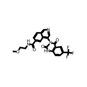 COCCNC(=O)c1ccc2cncc(-n3c(=O)[nH]c4ccc(C(F)(F)F)cc4c3=O)c2c1